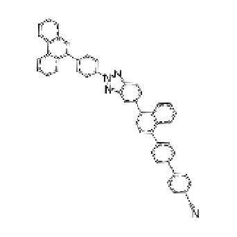 N#Cc1ccc(-c2ccc(-c3ccc(-c4ccc5nn(-c6ccc(-c7cc8ccccc8c8ccccc78)cc6)nc5c4)c4ccccc34)cc2)cc1